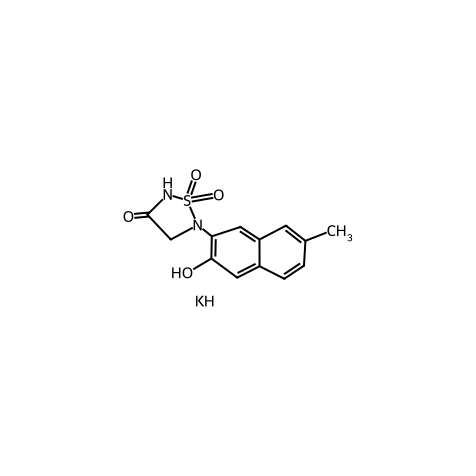 Cc1ccc2cc(O)c(N3CC(=O)NS3(=O)=O)cc2c1.[KH]